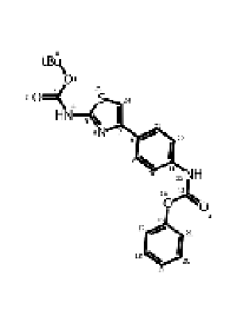 CC(C)(C)OC(=O)Nc1nc(-c2ccc(NC(=O)Oc3ccccc3)cc2)cs1